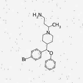 CC(CCN)N1CCC([C@@H](Oc2ccccc2)c2ccc(Br)cc2)CC1